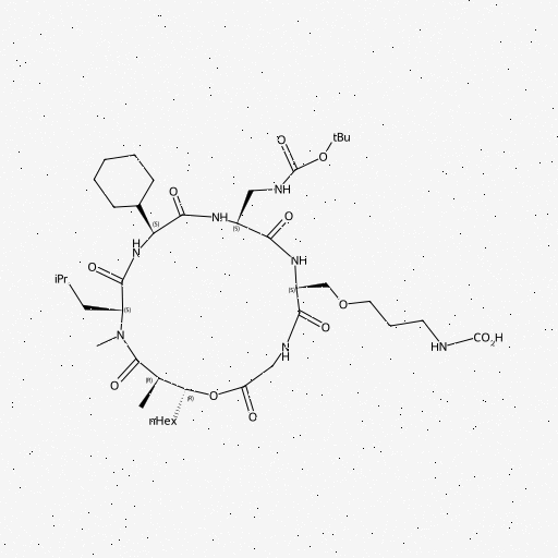 CCCCCC[C@H]1OC(=O)CNC(=O)[C@H](COCCCNC(=O)O)NC(=O)[C@H](CNC(=O)OC(C)(C)C)NC(=O)[C@H](C2CCCCC2)NC(=O)[C@H](CC(C)C)N(C)C(=O)[C@@H]1C